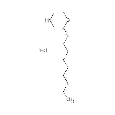 CCCCCCCCCC1CNCCO1.Cl